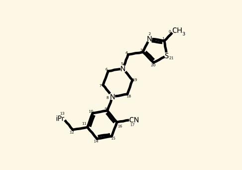 Cc1nc(CN2CCN(c3cc(CC(C)C)ccc3C#N)CC2)cs1